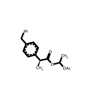 CC(=O)OC(C)OC(=O)[C@@H](C)c1ccc(CC(C)C)cc1